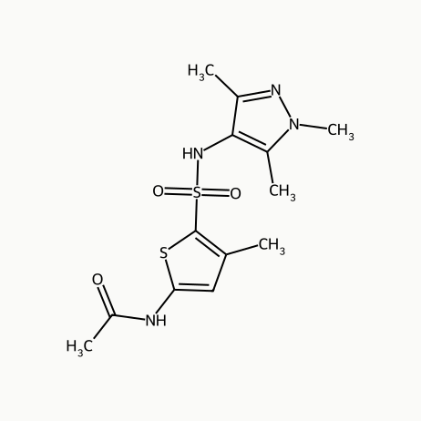 CC(=O)Nc1cc(C)c(S(=O)(=O)Nc2c(C)nn(C)c2C)s1